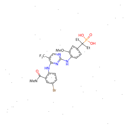 CCC(CC)(c1ccc(Nc2ncc(C(F)(F)F)c(Nc3ccc(Br)cc3C(=O)NC)n2)c(OC)c1)P(=O)(O)O